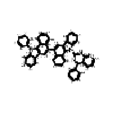 c1ccc(-c2nc(-n3c4ccccc4c4cc(-c5cc6c7ccccc7n(-c7ccccc7)c6c6ccccc56)c5ccccc5c43)nc3ncccc23)cc1